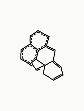 C1=CCC23C=CC=c4ccc5cccc(c5c42)=CC3=C1